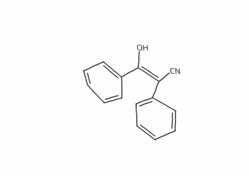 N#CC(=C(O)c1ccccc1)c1ccccc1